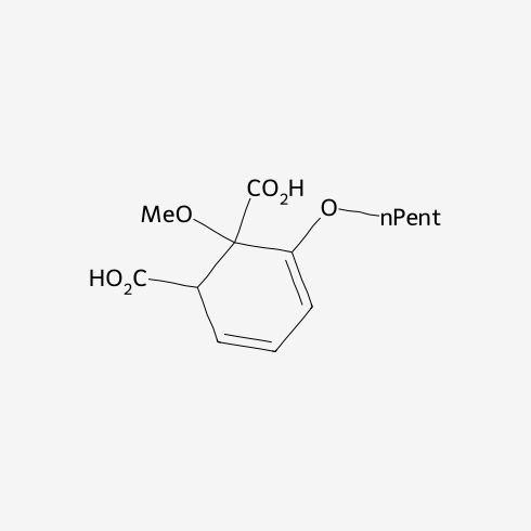 CCCCCOC1=CC=CC(C(=O)O)C1(OC)C(=O)O